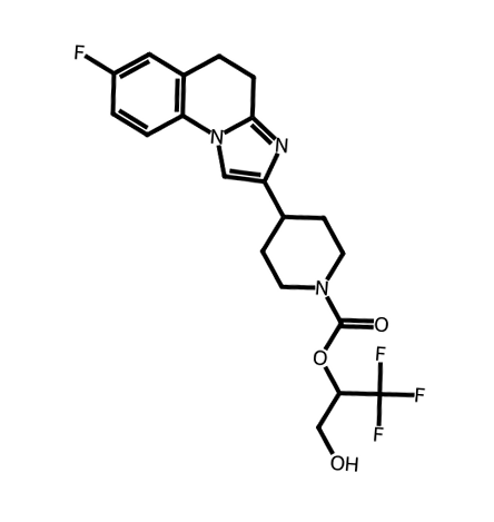 O=C(OC(CO)C(F)(F)F)N1CCC(c2cn3c(n2)CCc2cc(F)ccc2-3)CC1